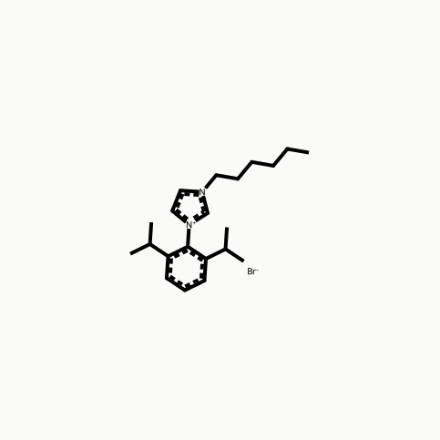 CCCCCCn1cc[n+](-c2c(C(C)C)cccc2C(C)C)c1.[Br-]